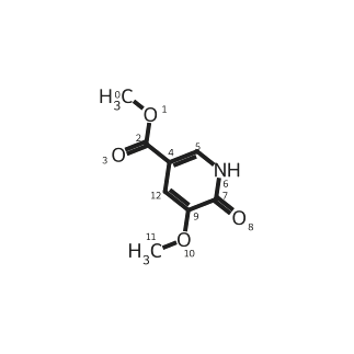 COC(=O)c1c[nH]c(=O)c(OC)c1